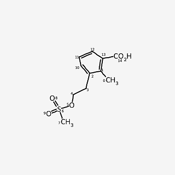 Cc1c(CCOS(C)(=O)=O)cccc1C(=O)O